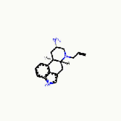 C=CCN1C[C@@H](N)C[C@@H]2c3cccc4[nH]cc(c34)C[C@H]21